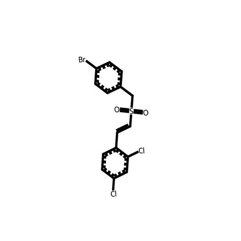 O=S(=O)(C=Cc1ccc(Cl)cc1Cl)Cc1ccc(Br)cc1